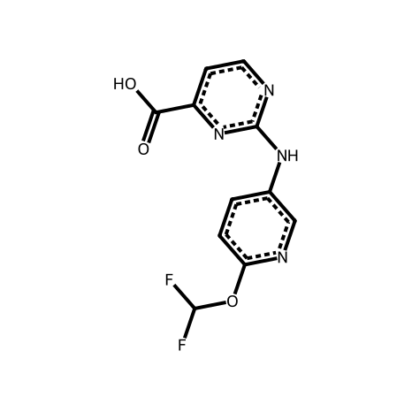 O=C(O)c1ccnc(Nc2ccc(OC(F)F)nc2)n1